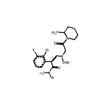 CC(C)N(C)C(=O)/C(=C\N(C=O)CC(=O)N1CCCCC1C)c1cccc(F)c1Cl